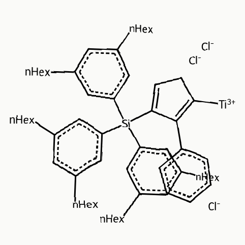 CCCCCCc1cc(CCCCCC)cc([Si](C2=CC[C]([Ti+3])=C2c2ccccc2)(c2cc(CCCCCC)cc(CCCCCC)c2)c2cc(CCCCCC)cc(CCCCCC)c2)c1.[Cl-].[Cl-].[Cl-]